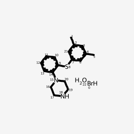 Br.Cc1cc(C)cc(Sc2ccccc2N2CCNCC2)c1.O